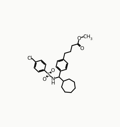 COC(=O)CCCc1ccc(C(NS(=O)(=O)c2ccc(Cl)cc2)C2CCCCCC2)cc1